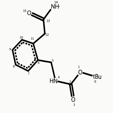 CC(C)(C)OC(=O)NCc1ccccc1CC([NH])=O